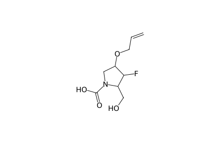 C=CCOC1CN(C(=O)O)C(CO)C1F